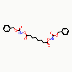 O=C(CCCCCCC(=O)ONC(=O)OCc1ccccc1)ONC(=O)OCc1ccccc1